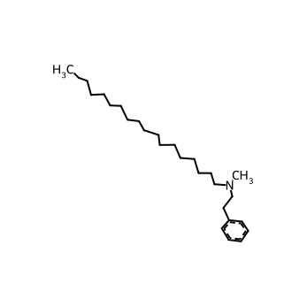 CCCCCCCCCCCCCCCCCCN(C)CCc1ccccc1